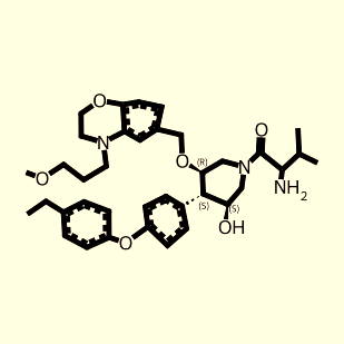 CCc1ccc(Oc2ccc([C@H]3[C@H](O)CN(C(=O)C(N)C(C)C)C[C@@H]3OCc3ccc4c(c3)N(CCCOC)CCO4)cc2)cc1